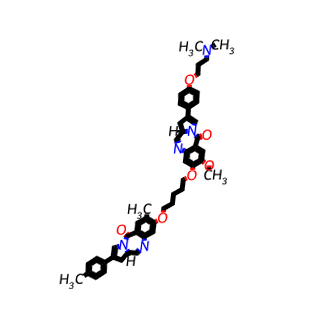 COc1cc2c(cc1OCCCCCOc1cc3c(cc1C)C(=O)N1C=C(c4ccc(C)cc4)C[C@H]1C=N3)N=C[C@@H]1CC(c3ccc(OCCCN(C)C)cc3)=CN1C2=O